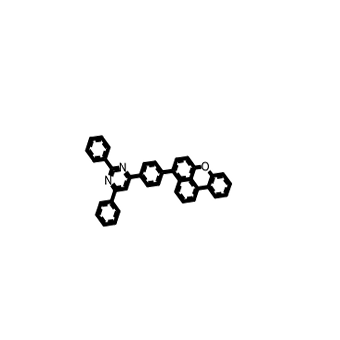 c1ccc(-c2cc(-c3ccc(-c4ccc5c6c(cccc46)-c4ccccc4O5)cc3)nc(-c3ccccc3)n2)cc1